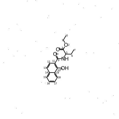 CCOC(=O)C(CC)NC(=O)c1ccc2ccccc2c1O